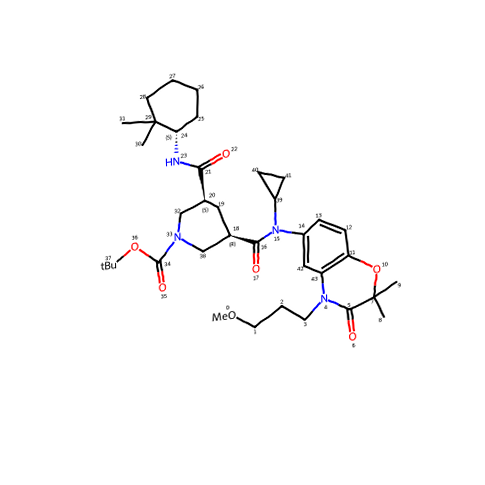 COCCCN1C(=O)C(C)(C)Oc2ccc(N(C(=O)[C@@H]3C[C@H](C(=O)N[C@H]4CCCCC4(C)C)CN(C(=O)OC(C)(C)C)C3)C3CC3)cc21